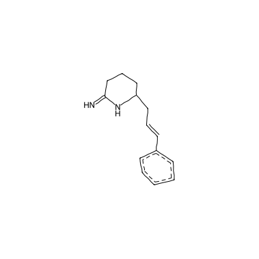 N=C1CCCC(C/C=C/c2ccccc2)N1